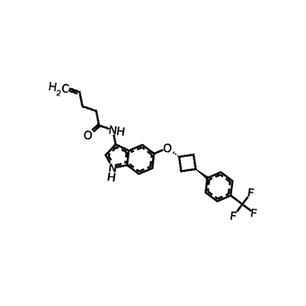 C=CCCC(=O)Nc1c[nH]c2ccc(O[C@H]3C[C@H](c4ccc(C(F)(F)F)cc4)C3)cc12